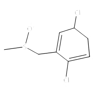 C[S+]([O-])CC1=CC(Cl)CC=C1Cl